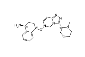 CN1CCOC[C@@H]1c1nnc2n1CN(O[C@@H]1CC[C@H](N)c3ccccc31)C=C2